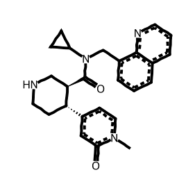 Cn1ccc([C@@H]2CCNC[C@H]2C(=O)N(Cc2cccc3cccnc23)C2CC2)cc1=O